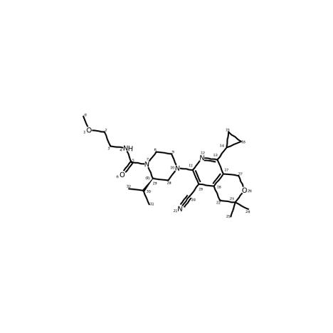 COCCNC(=O)N1CCN(c2nc(C3CC3)c3c(c2C#N)CC(C)(C)OC3)C[C@H]1C(C)C